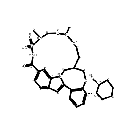 CN1CCCC2COc3c(cccc3[C@H]3CCCC[C@@H]3F)-c3cc4ccc(cc4n3C2)C(=O)NS(=O)(=O)N(C)CC1